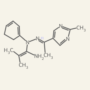 CC(C)=C(N)N(/N=C(\C)c1cnc(C)nc1)C1=CC=CCC1